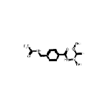 CCCN(NC(=O)c1ccc(CNC(=O)C(F)(F)F)cc1)C(=O)OC(C)(C)C